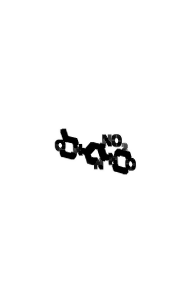 CC1CN(c2cnc(N3CCOCC3)c([N+](=O)[O-])c2)CCO1